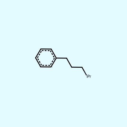 CC(C)CCCc1[c]cccc1